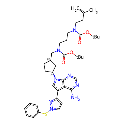 C=C(C)CCN(CCCN(C[C@@H]1CC[C@H](n2cc(-c3ccn(Sc4ccccc4)n3)c3c(N)ncnc32)C1)C(=O)OC(C)(C)C)C(=O)OC(C)(C)C